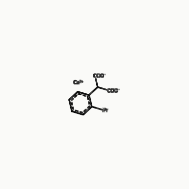 CC(C)c1ccccc1C(C(=O)[O-])C(=O)[O-].[Ca+2]